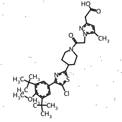 COc1c(C(C)(C)C)cc(-c2nc(C3CCN(C(=O)Cn4nc(CC(=O)O)cc4C)CC3)sc2Cl)cc1C(C)(C)C